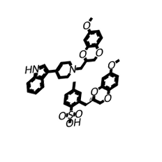 COc1ccc2c(c1)OC(CN1CC=C(c3c[nH]c4ccccc34)CC1)CO2.COc1ccc2c(c1)O[C@H](Cc1cc(C)ccc1S(=O)(=O)O)CO2